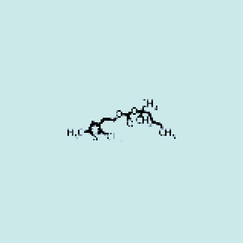 CCCCC(C)(C)OC(=O)OCCc1cc(C)sc1C